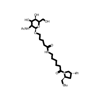 CC(=O)NC1C(O)[C@@H](O)C(CO)O[C@H]1OCCCCC(=O)NCCCCCC(=O)N1C[C@H](C(C)C)C[C@H]1CC(C)(C)C